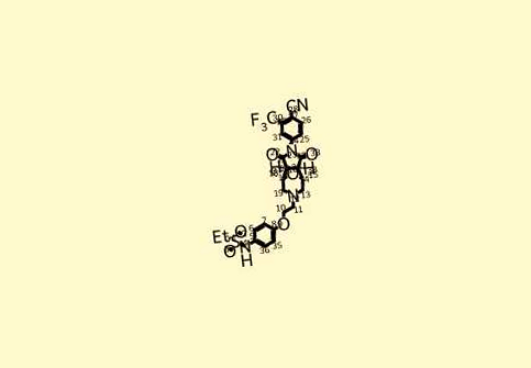 CCS(=O)(=O)Nc1ccc(OCCN2C[C@@]3(C)O[C@@](C)(C2)[C@H]2C(=O)N(c4ccc(C#N)c(C(F)(F)F)c4)C(=O)[C@H]23)cc1